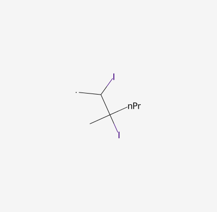 [CH2]C(I)C(C)(I)CCC